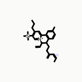 C=CC1C(CCC(=C)/C=C\C)c2ccc(C)cc2-c2cc(CCC)c([Si](C)(C)C)c[n+]21